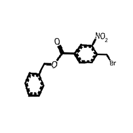 O=C(OCc1ccccc1)c1ccc(CBr)c([N+](=O)[O-])c1